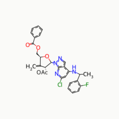 C=C1[C@@H](OC(C)=O)[C@H](n2ncc3c(NC(C)c4ccccc4F)cc(Cl)nc32)O[C@@H]1COC(=O)c1ccccc1